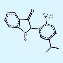 CCOC(=O)c1ccc(N(C)C)cc1N1C(=O)c2ccccc2C1=O